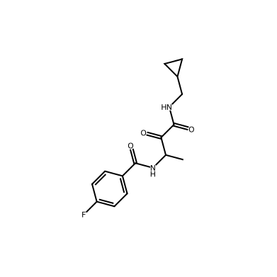 CC(NC(=O)c1ccc(F)cc1)C(=O)C(=O)NCC1CC1